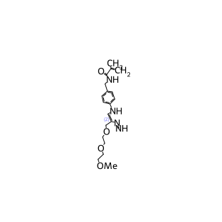 C=C(C)C(=O)NCc1ccc(N/C=C(/COCCOCCOC)N=N)cc1